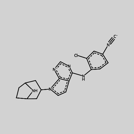 [C-]#[N+]c1ccc(Nc2ncnc3c2ccn3C2CC3CCC(C2)N3)c(Cl)c1